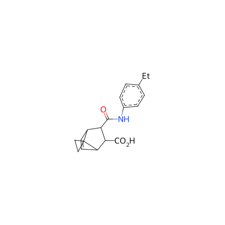 CCc1ccc(NC(=O)C2C(C(=O)O)C3C=CC2C32CC2)cc1